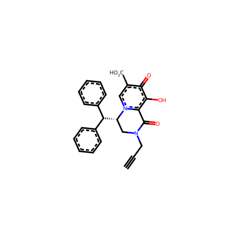 C#CCN1C[C@H](C(c2ccccc2)c2ccccc2)n2cc(C(=O)O)c(=O)c(O)c2C1=O